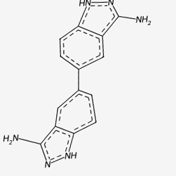 Nc1n[nH]c2ccc(-c3ccc4[nH]nc(N)c4c3)cc12